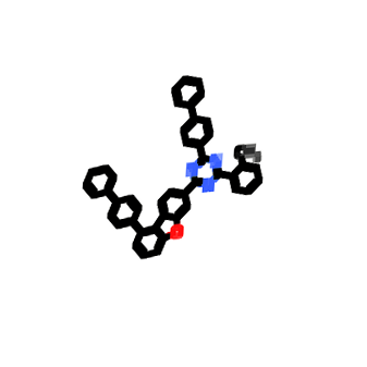 Cc1ccccc1-c1nc(-c2ccc(-c3ccccc3)cc2)nc(-c2ccc3c(c2)oc2cccc(-c4ccc(-c5ccccc5)cc4)c23)n1